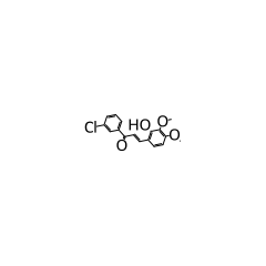 COc1ccc(/C=C/C(=O)c2cccc(Cl)c2)c(O)c1OC